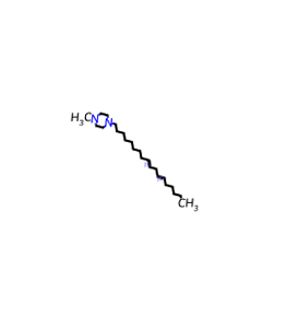 CCCCC/C=C/C/C=C/CCCCCCCCN1CCN(C)CC1